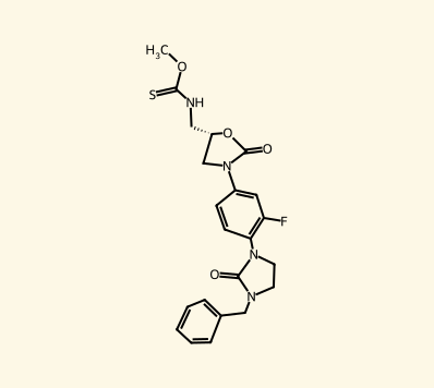 COC(=S)NC[C@H]1CN(c2ccc(N3CCN(Cc4ccccc4)C3=O)c(F)c2)C(=O)O1